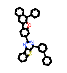 c1ccc(-c2cccc(-c3nc(-c4ccc5c(c4)oc4c(-c6ccccc6)c6ccccc6cc45)nc4c3sc3ccccc34)c2)cc1